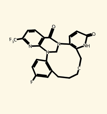 O=C1c2ccc(C(F)(F)F)nc2N2CN1c1ccc(=O)[nH]c1CCCCCc1cc(F)ccc12